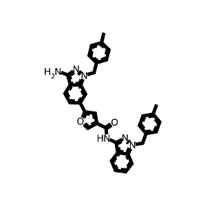 Cc1ccc(Cn2nc(N)c3ccc(-c4cc(C(=O)Nc5nn(Cc6ccc(C)cc6)c6ccccc56)co4)cc32)cc1